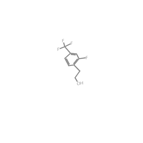 OCCc1ccc(C(F)(F)F)cc1F